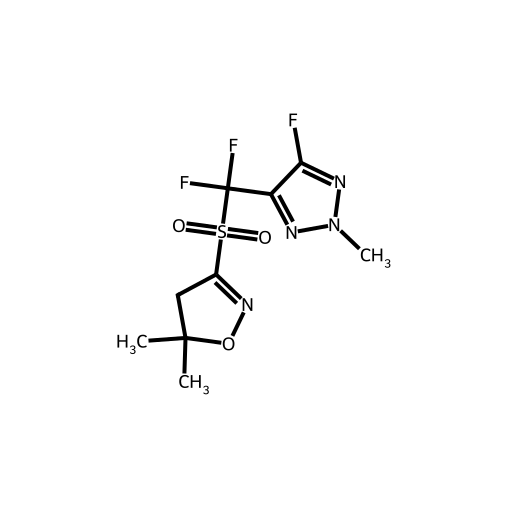 Cn1nc(F)c(C(F)(F)S(=O)(=O)C2=NOC(C)(C)C2)n1